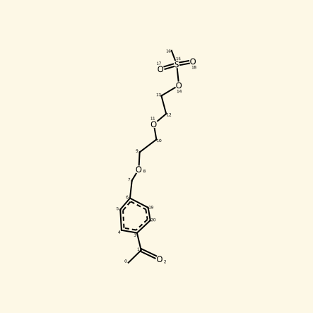 CC(=O)c1ccc(COCCOCCOS(C)(=O)=O)cc1